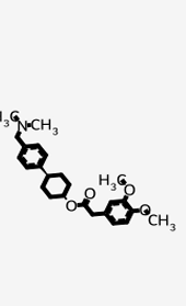 COc1ccc(CC(=O)O[C@H]2CC[C@H](c3ccc(CN(C)C)cc3)CC2)cc1OC